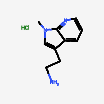 Cl.Cn1cc(CCN)c2cccnc21